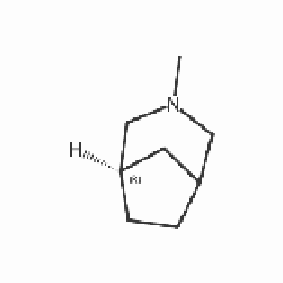 CN1CC2CC[C@H](C2)C1